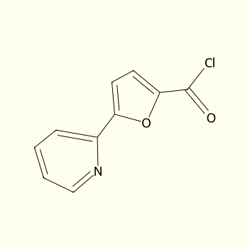 O=C(Cl)c1ccc(-c2ccccn2)o1